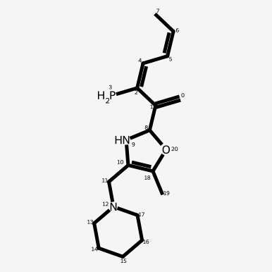 C=C(/C(P)=C\C=C/C)C1NC(CN2CCCCC2)=C(C)O1